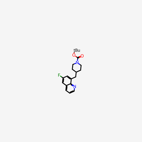 CC(C)(C)OC(=O)N1CCC(Cc2cc(F)cc3cccnc23)CC1